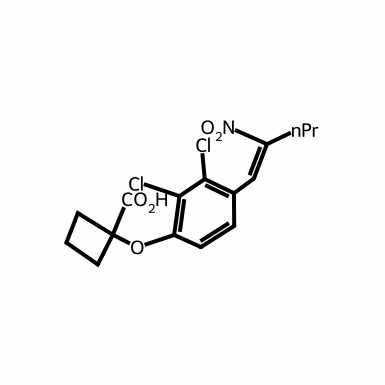 CCC/C(=C/c1ccc(OC2(C(=O)O)CCC2)c(Cl)c1Cl)[N+](=O)[O-]